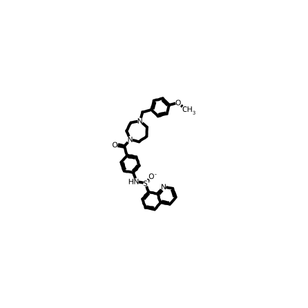 COc1ccc(CN2CCCN(C(=O)c3ccc(N[S+]([O-])c4cccc5cccnc45)cc3)CC2)cc1